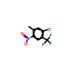 [CH2]c1cc(Cl)c(C(F)(F)F)cc1[N+](=O)[O-]